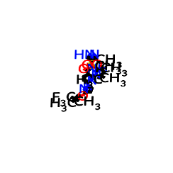 Cc1n[nH]cc1S(=O)(=O)NC(=O)c1ccc(-n2ccc(OCC(C)(C)C(F)(F)F)n2)nc1N1CC(C)(C)CC1(C)C